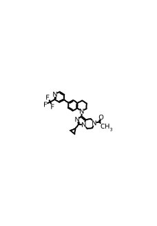 CC(=O)N1CCn2c(C3CC3)nc(N3CCCc4cc(-c5ccnc(C(F)(F)F)c5)ccc43)c2C1